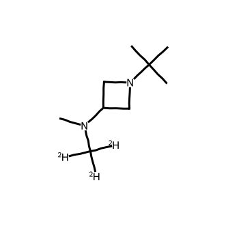 [2H]C([2H])([2H])N(C)C1CN(C(C)(C)C)C1